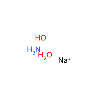 N.O.[Na+].[OH-]